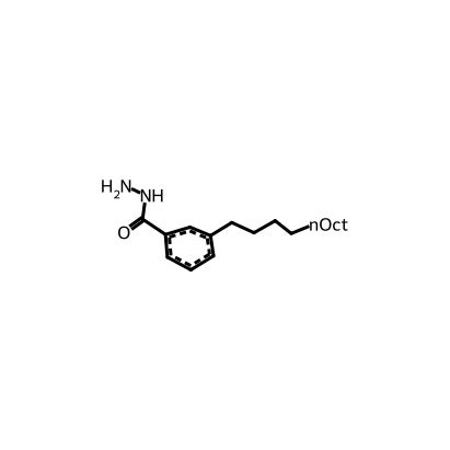 CCCCCCCCCCCCc1cccc(C(=O)NN)c1